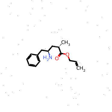 C=CCOC(=O)[C@@H](C)C[C@@H](N)Cc1ccccc1